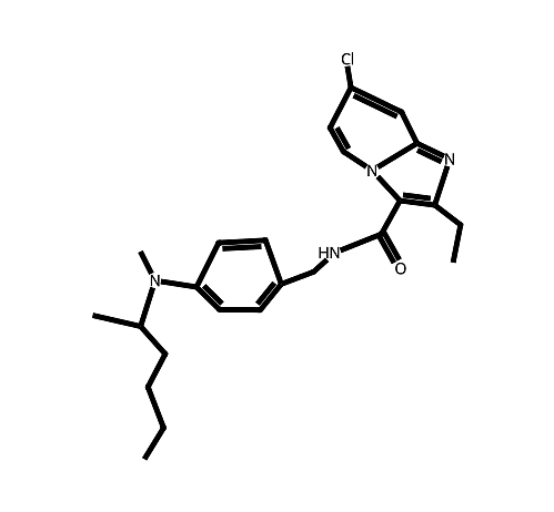 CCCCC(C)N(C)c1ccc(CNC(=O)c2c(CC)nc3cc(Cl)ccn23)cc1